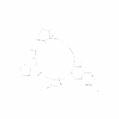 CC1CC[C@H]2OC(=O)N[C@@H](C3CCCC3)C(=O)N3C[C@@H](C[C@H]3C(=O)O)Oc3nc4cc(C#N)ccc4c(=O)n3CC=CCC[C@@H]12